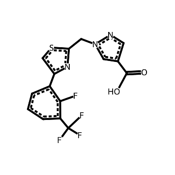 O=C(O)c1cnn(Cc2nc(-c3cccc(C(F)(F)F)c3F)cs2)c1